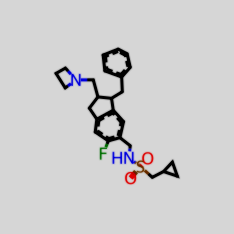 O=S(=O)(CC1CC1)NCc1cc2c(cc1F)CC(CN1CCC1)C2Cc1ccccc1